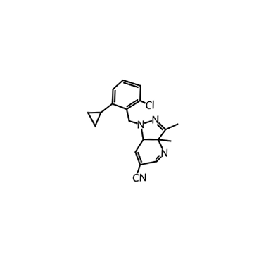 CC1=NN(Cc2c(Cl)cccc2C2CC2)C2C=C(C#N)C=NC12C